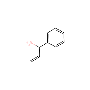 BC(C=C)c1ccccc1